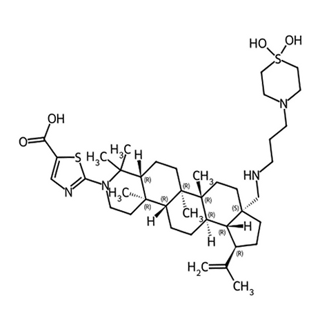 C=C(C)[C@@H]1CC[C@]2(CNCCCN3CCS(O)(O)CC3)CC[C@]3(C)[C@H](CC[C@@H]4[C@@]5(C)CCN(c6ncc(C(=O)O)s6)C(C)(C)[C@@H]5CC[C@]43C)[C@@H]12